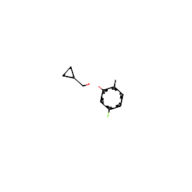 CC(C)(C)c1ccc(F)cc1OCC1CC1